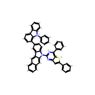 c1ccc(-c2cc3nc(-n4c5ccc(-c6cccc7c8ccccc8n(-c8ccccc8)c67)cc5c5cc6ccccc6cc54)nc(-c4ccccc4)c3s2)cc1